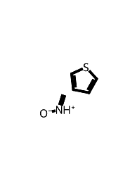 C=[NH+][O-].c1ccsc1